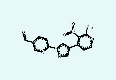 Nc1nccc(-c2cnn(-c3ccc(C=O)cn3)c2)c1[N+](=O)[O-]